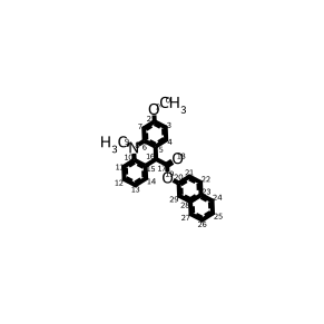 COc1ccc2c(c1)N(C)c1ccccc1C2C(=O)Oc1ccc2ccccc2c1